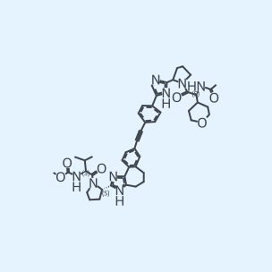 COC(=O)N[C@H](C(=O)N1CCC[C@H]1c1nc2c([nH]1)CCCc1cc(C#Cc3ccc(-c4cnc(C5CCCN5C(=O)[C@@H](NC(C)=O)C5CCOCC5)[nH]4)cc3)ccc1-2)C(C)C